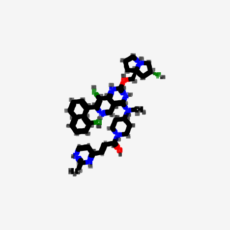 Cc1nccc(/C=C/C(=O)N2CCC(N(C)c3nc(OC[C@@]45CCCN4C[C@H](F)C5)nc4c(F)c(-c5cccc6cccc(Cl)c56)ncc34)CC2)n1